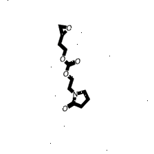 O=C(OCCC1CO1)OCCN1CCCC1=O